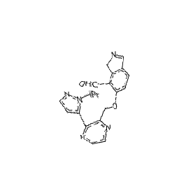 CC(C)n1nccc1-c1nccnc1COc1ccc2c(c1C=O)CN=C2